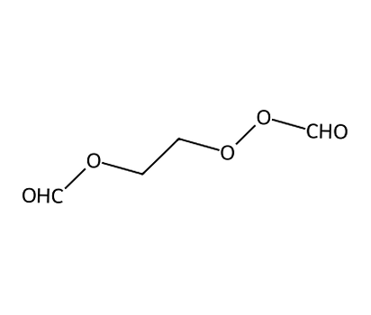 O=COCCOOC=O